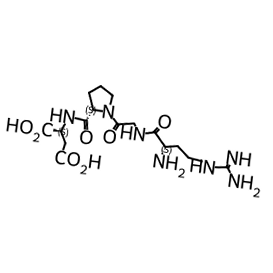 N=C(N)NCCC[C@H](N)C(=O)NCC(=O)N1CCC[C@H]1C(=O)N[C@@H](CC(=O)O)C(=O)O